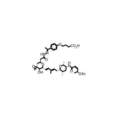 CC(=O)O[C@@H](C)/C=C\C(=O)N[C@@H]1C[C@H](C)[C@H](C/C=C(C)/C=C/[C@H]2O[C@H](CC(=O)N/N=C(\C)c3ccc(OCCCC(=O)O)cc3)C[C@@]3(CO3)[C@@H]2O)O[C@@H]1C